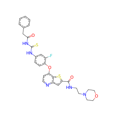 O=C(Cc1ccccc1)NC(=S)Nc1ccc(Oc2ccnc3cc(C(=O)NCCN4CCOCC4)sc23)c(F)c1